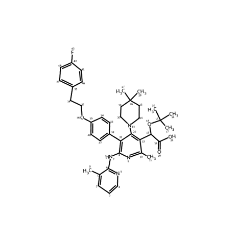 Cc1cccnc1Nc1nc(C)c(C(OC(C)(C)C)C(=O)O)c(N2CCC(C)(C)CC2)c1-c1ccc(OCCc2ccc(F)cc2)cc1